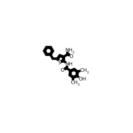 Cc1cc(C(=O)Nc2sc(Cc3ccccc3)cc2C(N)=O)cc(C)c1O